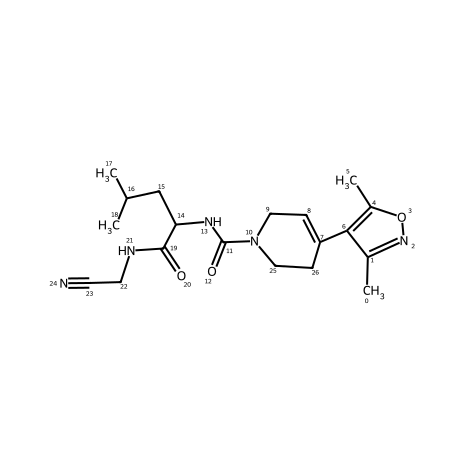 Cc1noc(C)c1C1=CCN(C(=O)NC(CC(C)C)C(=O)NCC#N)CC1